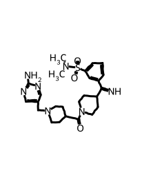 CN(C)S(=O)(=O)c1cccc(C(=N)C2CCN(C(=O)C3CCN(Cc4cnc(N)nc4)CC3)CC2)c1